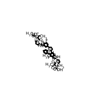 COC(=O)N[C@H](C(=O)N1CCC[C@H]1c1nc2c(F)cc(C3CCC(c4cc(F)c5nc([C@@H]6CCCN6C(=O)[C@H](C(C)C)N(C)C(=O)O)[nH]c5c4)N3c3ccccc3C(C)(C)C)cc2[nH]1)C(C)C